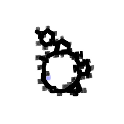 CN1CCN(c2ccc3cc2CN(C)C/C=C/COCc2cc(cs2)-c2ccnc(n2)N3)CC1